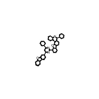 c1ccc(-c2cc(-c3ccc4c(c3)oc3ccccc34)nc(-c3cccc4c3oc3c4ccc4c(-c5ccccc5)nc5ccccc5c43)n2)cc1